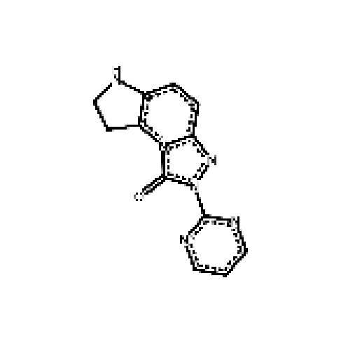 O=c1n(-c2ncccn2)nc2ccc3c(n12)CCN3